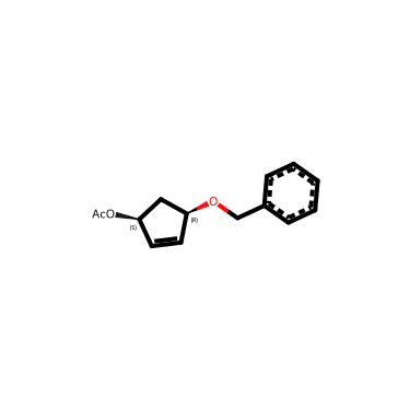 CC(=O)O[C@@H]1C=C[C@H](OCc2ccccc2)C1